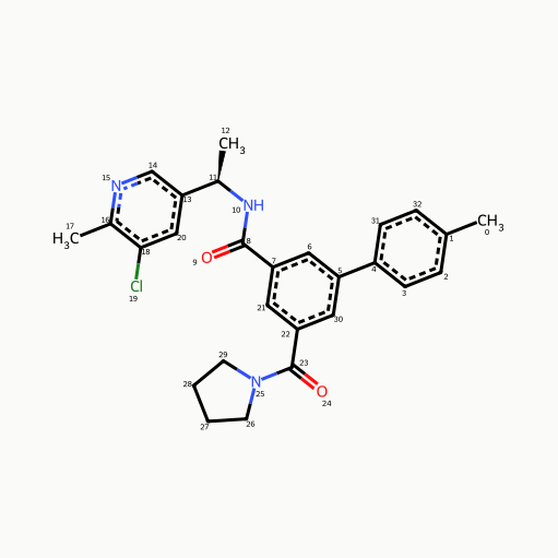 Cc1ccc(-c2cc(C(=O)N[C@H](C)c3cnc(C)c(Cl)c3)cc(C(=O)N3CCCC3)c2)cc1